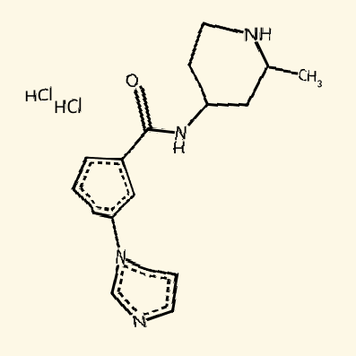 CC1CC(NC(=O)c2cccc(-n3ccnc3)c2)CCN1.Cl.Cl